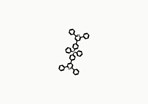 c1ccc(-c2cc(-c3ccc([Si](c4ccccc4)(c4ccccc4)c4ccc(-c5cc(-c6ccccc6)nc(-c6ccccc6)c5)cc4)cc3)cc(-c3ccccc3)n2)cc1